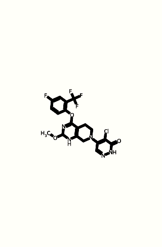 COC1N=C(Oc2ccc(F)cc2C(F)(F)F)C2=C(CN(c3cn[nH]c(=O)c3Cl)CC2)N1